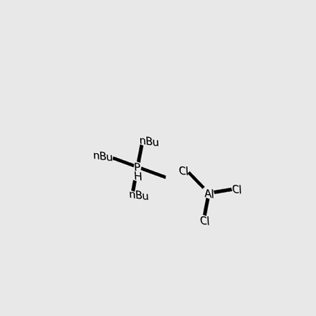 CCCC[PH](C)(CCCC)CCCC.[Cl][Al]([Cl])[Cl]